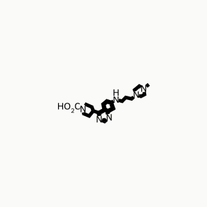 CN1CCN(CCCNc2ccc3c(C4CCN(C(=O)O)CC4)ncnc3c2)CC1